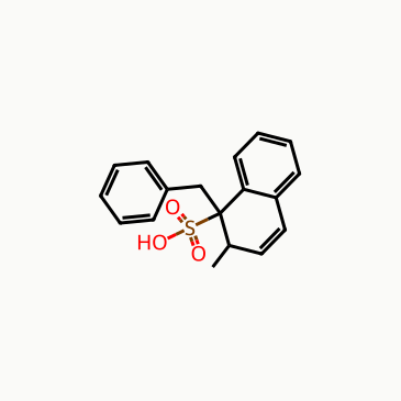 CC1C=Cc2ccccc2C1(Cc1ccccc1)S(=O)(=O)O